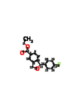 CCOC(=O)c1ccc2c(c1)COC2c1ccc(F)cc1